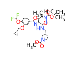 COC(=O)N1CCC(CNC(=O)c2nc(-c3ccc(OC(F)F)c(OCC4CC4)c3)oc2[C@H](C)NC(=O)OC(C)(C)C)C1